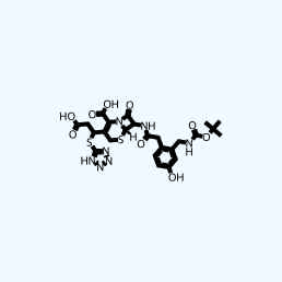 CC(C)(C)OC(=O)NCc1cc(O)ccc1CC(=O)NC1C(=O)N2C(C(=O)O)=C(C(CC(=O)O)Sc3nnn[nH]3)CS[C@@H]12